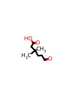 CC(C)(CCC=O)CC(=O)O